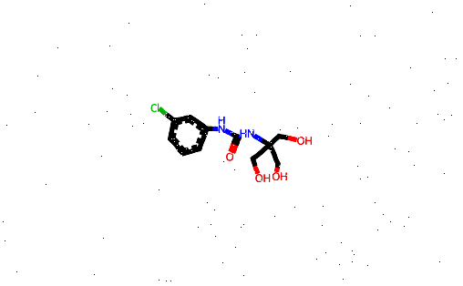 O=C(Nc1cccc(Cl)c1)NC(CO)(CO)CO